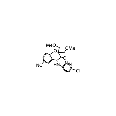 COCC1(COC)Oc2ccc(C#N)cc2[C@@H](Nc2ccc(Cl)nn2)[C@@H]1O